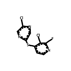 Fc1nccc(Sc2cnc(Cl)cn2)c1Cl